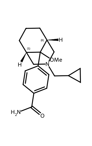 COC1(c2ccc(C(N)=O)cc2)[C@@H]2CCC[C@H]1CN(CC1CC1)C2